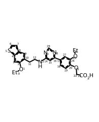 CCOc1cc2sccc2cc1CCNc1cc(-c2ccc(OCC(=O)O)c(OCC)c2)ncn1